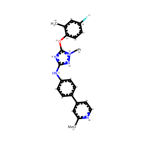 COc1cc(-c2ccc(Nc3nc(Oc4ccc(F)cc4C)n(C(C)C)n3)cc2)ccn1